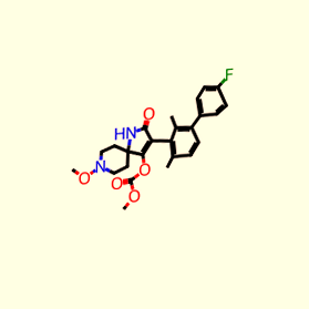 COC(=O)OC1=C(c2c(C)ccc(-c3ccc(F)cc3)c2C)C(=O)NC12CCN(OC)CC2